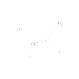 [CH2]CCC(=O)N(CCC)C(C)(C)C